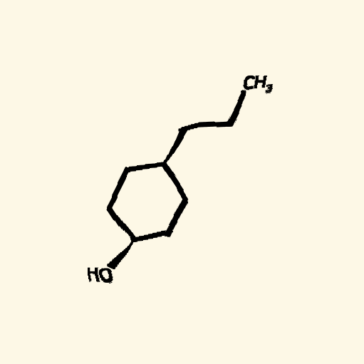 CC[CH][C@H]1CC[C@@H](O)CC1